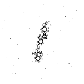 O=C(N/N=C/c1ccc2c(ccc3c2ncn3-c2ccc(OC(F)(F)F)cc2)c1)Nc1ccccc1Cl